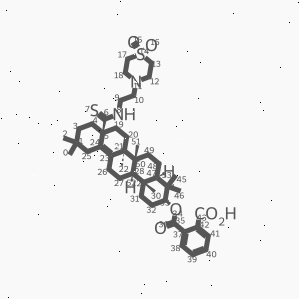 CC1(C)CC[C@]2(C(=S)NCCN3CCS(=O)(=O)CC3)CC[C@]3(C)C(=C2C1)CC[C@@H]1[C@@]2(C)CC[C@H](OC(=O)c4ccccc4C(=O)O)C(C)(C)[C@@H]2CC[C@]13C